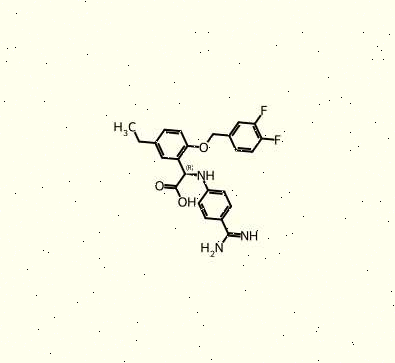 CCc1ccc(OCc2ccc(F)c(F)c2)c([C@@H](Nc2ccc(C(=N)N)cc2)C(=O)O)c1